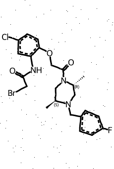 C[C@@H]1CN(Cc2ccc(F)cc2)[C@@H](C)CN1C(=O)COc1ccc(Cl)cc1NC(=O)CBr